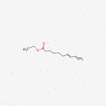 C=C/C=C/CCCCCC(=O)OCC